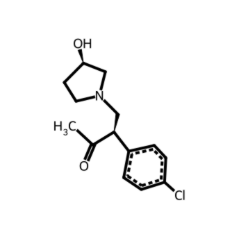 CC(=O)[C@@H](CN1CC[C@@H](O)C1)c1ccc(Cl)cc1